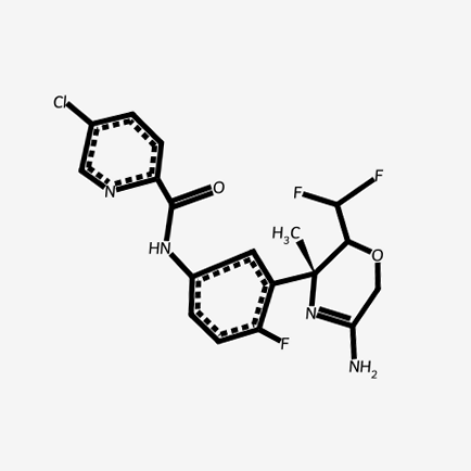 C[C@]1(c2cc(NC(=O)c3ccc(Cl)cn3)ccc2F)N=C(N)COC1C(F)F